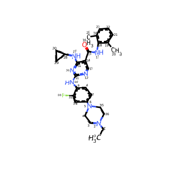 CCN1CCN(c2ccc(Nc3ncc(C(=O)Nc4c(C)cccc4C)c(NC4CC4)n3)c(F)c2)CC1